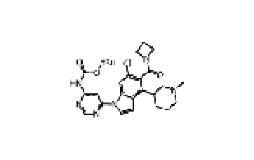 CN1CCCC(c2c(C(=O)N3CCC3)c(Cl)cc3c2ccn3-c2cc(NC(=O)OC(C)(C)C)ncn2)C1